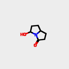 O=C1CCC2CCC(O)N12